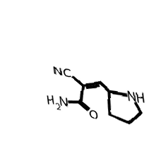 N#C/C(=C/C1CCCN1)C(N)=O